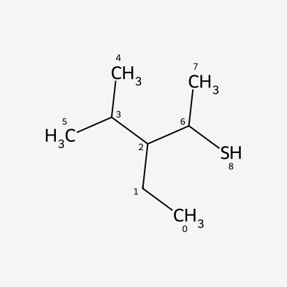 CCC(C(C)C)C(C)S